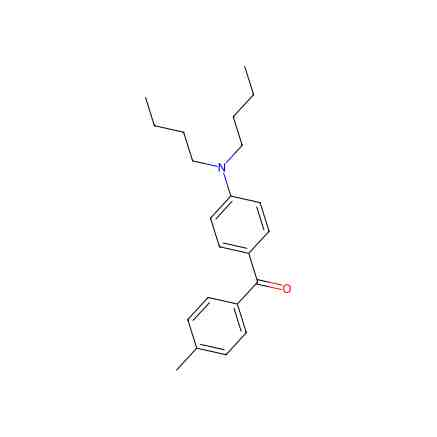 CCCCN(CCCC)c1ccc(C(=O)c2ccc(C)cc2)cc1